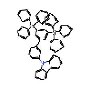 c1ccc([Si](c2ccccc2)(c2ccccc2)c2cc(-c3cccc(-n4c5ccccc5c5ccccc54)c3)cc([Si](c3ccccc3)(c3ccccc3)c3ccccc3)c2)cc1